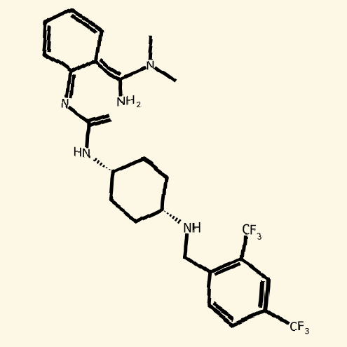 C=C(/N=C1/C=CC=C/C1=C(/N)N(C)C)N[C@H]1CC[C@@H](NCc2ccc(C(F)(F)F)cc2C(F)(F)F)CC1